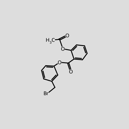 CC(=O)Oc1ccccc1C(=O)Oc1cccc(CBr)c1